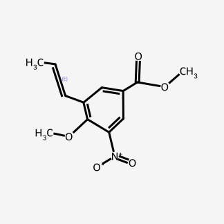 C/C=C/c1cc(C(=O)OC)cc([N+](=O)[O-])c1OC